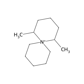 CC1CCCC(C)[N+]12CCCCC2